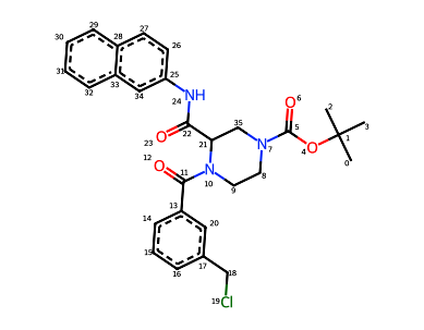 CC(C)(C)OC(=O)N1CCN(C(=O)c2cccc(CCl)c2)C(C(=O)Nc2ccc3ccccc3c2)C1